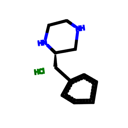 Cl.c1ccc(C[C@H]2CNCCN2)cc1